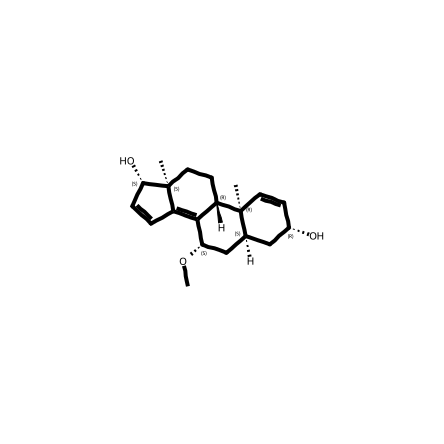 CO[C@H]1C[C@@H]2C[C@@H](O)C=C[C@]2(C)[C@H]2CC[C@@]3(C)C(=C12)C=C[C@@H]3O